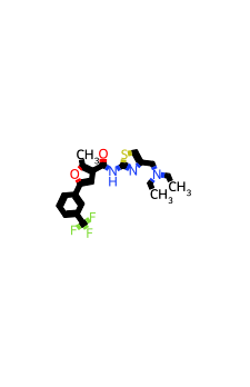 CCN(CC)Cc1csc(NC(=O)c2cc(-c3cccc(C(F)(F)F)c3)oc2C)n1